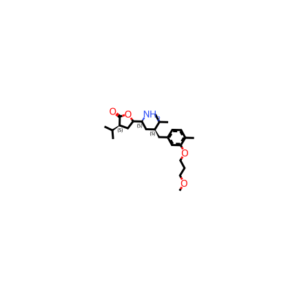 COCCCOc1cc(C[C@@H](C[C@H](N)C2C[C@@H](C(C)C)C(=O)O2)C(C)C)ccc1C